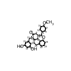 COc1ccc(C(=O)N2CC(=O)N(Cc3cc(O)cc(O)c3)[C@@H](CCc3ccccc3)C2)cc1